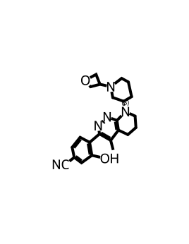 Cc1c(-c2ccc(C#N)cc2O)nnc2c1CCCN2[C@H]1CCCN(C2COC2)C1